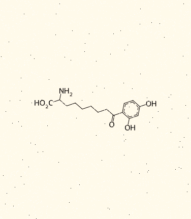 NC(CCCCCCC(=O)c1ccc(O)cc1O)C(=O)O